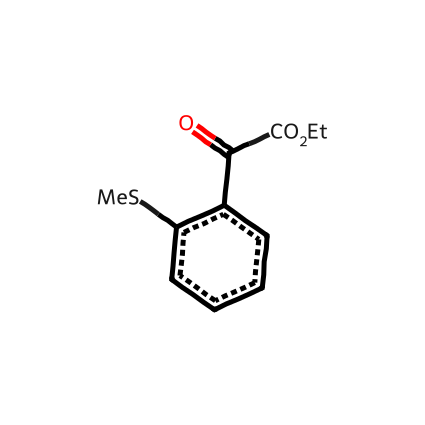 CCOC(=O)C(=O)c1ccccc1SC